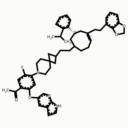 CC(=O)c1cc(F)c(N2CCC3(CC2)CC(CCC2CC/C=C(/CCc4cccc5c4OCO5)C[C@@H](c4ccccc4C(C)C)C2)C3)cc1Oc1cnc2[nH]ccc2c1